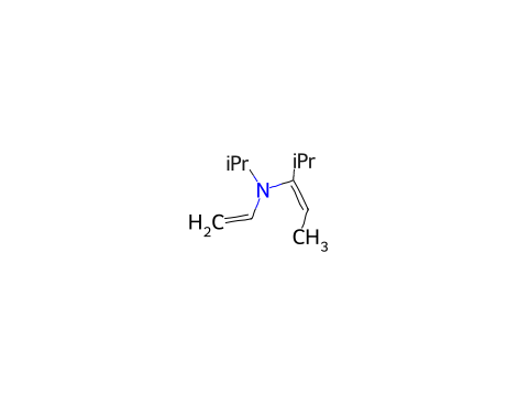 C=CN(/C(=C\C)C(C)C)C(C)C